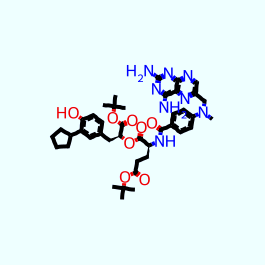 CN(Cc1cnc2nc(N)nc(N)c2n1)c1ccc(C(=O)N[C@@H](CCC(=O)OC(C)(C)C)C(=O)O[C@@H](Cc2ccc(O)c(C3CCCC3)c2)C(=O)OC(C)(C)C)cc1